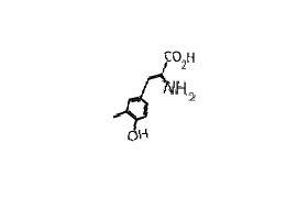 Cc1cc(C[C@H](N)C(=O)O)ccc1O